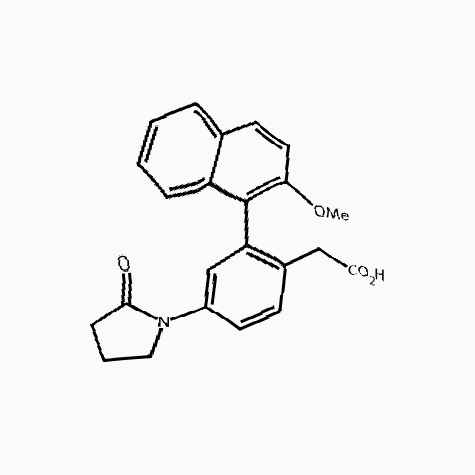 COc1ccc2ccccc2c1-c1cc(N2CCCC2=O)ccc1CC(=O)O